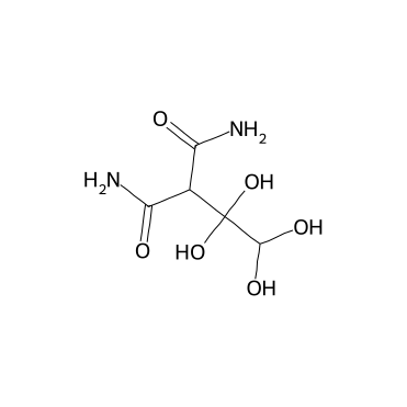 NC(=O)C(C(N)=O)C(O)(O)C(O)O